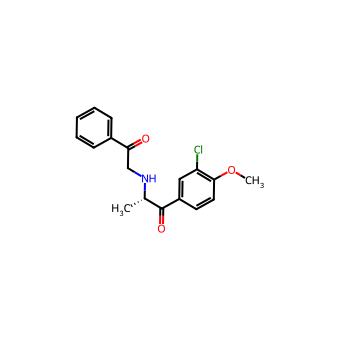 COc1ccc(C(=O)[C@H](C)NCC(=O)c2ccccc2)cc1Cl